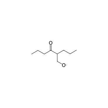 CCCC(=O)C(C[O])CCC